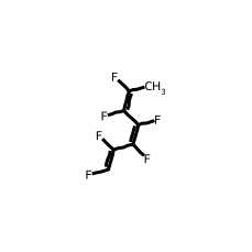 C\C(F)=C(F)/C(F)=C(F)\C(F)=C\F